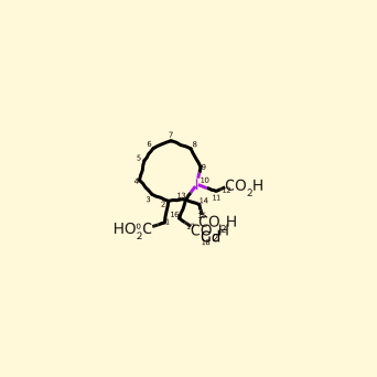 O=C(O)CC1CCCCCCCI(CC(=O)O)C1(CC(=O)O)CC(=O)O.[Gd]